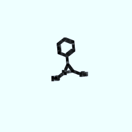 CC(C)(C)C1C(c2ccccc2)N1O